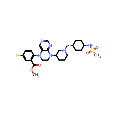 COC(=O)c1cc(F)ccc1N1CCN(C2CCCN(C[C@H]3CC[C@H](NS(C)(=O)=O)CC3)C2)c2ncncc21